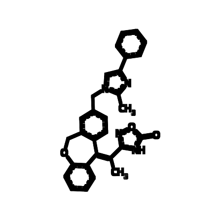 CC(=C1c2ccc(Cn3cc(-c4ccccc4)nc3C)cc2COc2ccccc21)c1noc(=O)[nH]1